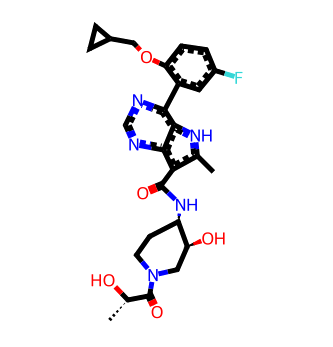 Cc1[nH]c2c(-c3cc(F)ccc3OCC3CC3)ncnc2c1C(=O)N[C@H]1CCN(C(=O)[C@H](C)O)C[C@@H]1O